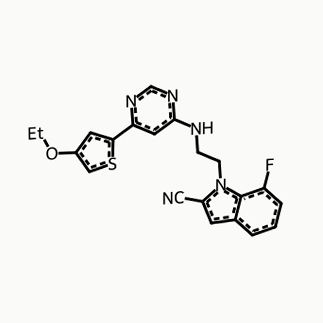 CCOc1csc(-c2cc(NCCn3c(C#N)cc4cccc(F)c43)ncn2)c1